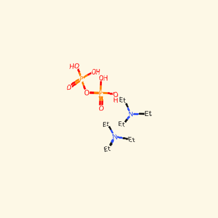 CCN(CC)CC.CCN(CC)CC.O=P(O)(O)OP(=O)(O)O